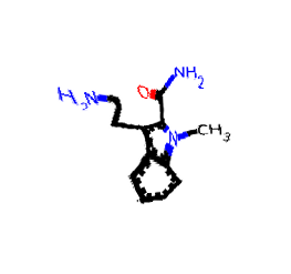 Cn1c(C(N)=O)c(CCN)c2c[c]ccc21